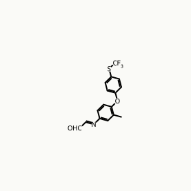 Cc1cc(N=CC=O)ccc1Oc1ccc(SC(F)(F)F)cc1